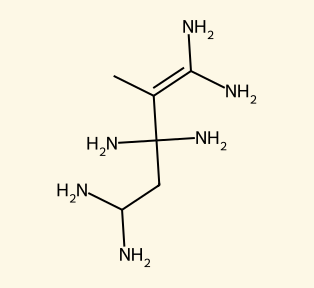 CC(=C(N)N)C(N)(N)CC(N)N